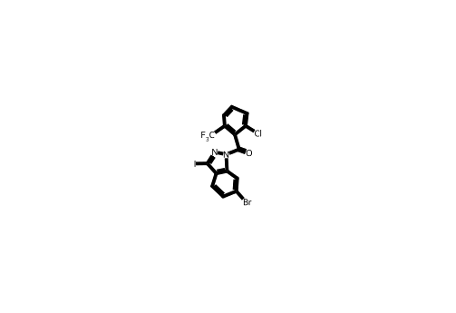 O=C(c1c(Cl)cccc1C(F)(F)F)n1nc(I)c2ccc(Br)cc21